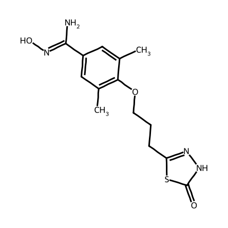 Cc1cc(C(N)=NO)cc(C)c1OCCCc1n[nH]c(=O)s1